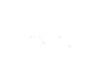 CC(C)N1N=C(c2cccc([N+](=O)[O-])c2)C(O)(O)C1=O